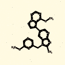 COc1cncc(Cn2c(C)nc3ncc(-c4ccn5ncnc(OC)c45)cc32)n1